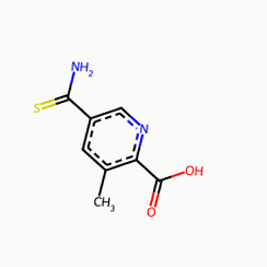 Cc1cc(C(N)=S)cnc1C(=O)O